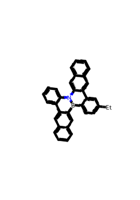 CCc1ccc2c(c1)-c1cc3ccccc3cc1N1B2c2cc3ccccc3cc2-c2ccccc21